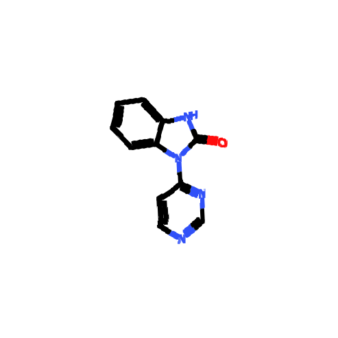 O=c1[nH]c2ccccc2n1-c1ccncn1